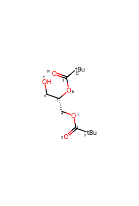 CC(C)(C)C(=O)OC[C@H](CO)OC(=O)C(C)(C)C